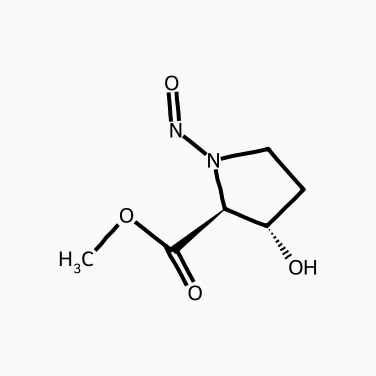 COC(=O)[C@@H]1[C@@H](O)CCN1N=O